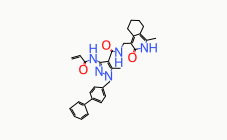 C=CC(=O)Nc1nn(Cc2ccc(-c3ccccc3)cc2)c(C)c1C(=O)NCc1c2c(c(C)[nH]c1=O)CCCC2